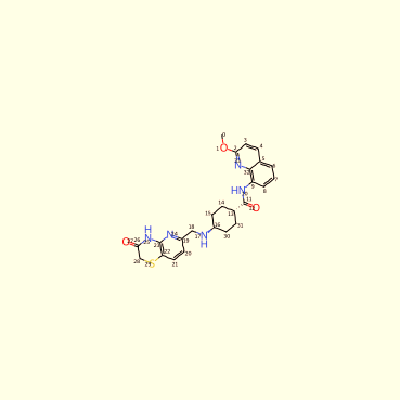 COc1ccc2cccc(NC(=O)[C@H]3CC[C@H](NCc4ccc5c(n4)NC(=O)CS5)CC3)c2n1